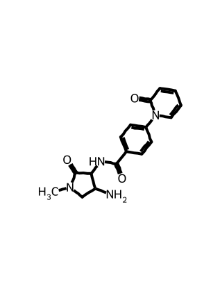 CN1CC(N)C(NC(=O)c2ccc(-n3ccccc3=O)cc2)C1=O